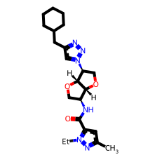 CCn1nc(C)cc1C(=O)N[C@H]1CO[C@H]2[C@@H]1OC[C@@H]2n1cc(CC2CCCCC2)nn1